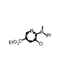 CCOC(=O)c1cnc(N(C)C(C)C)c(Cl)c1